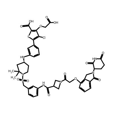 CC1(C)C[C@@H](Nc2cccc(-c3sc(C(=O)O)c(OCC(=O)O)c3Cl)c2)CCN1S(=O)(=O)Cc1cccc(NC(=O)C2CN(C(=O)COc3cccc4c3CN(C3CCC(=O)NC3=O)C4=O)C2)c1